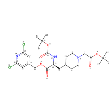 CC(C)(C)OC(=O)CN1CCC(C[C@H](NC(=O)OC(C)(C)C)C(=O)OCc2cc(Cl)nc(Cl)c2)CC1